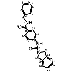 O=C(NCc1ccncc1)c1ccc(NC(=O)N2Cc3cccnc3C2)cc1